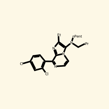 CCCCCN(CC(C)C)c1c(CC)nc2c(-c3ccc(Cl)cc3Cl)nccn12